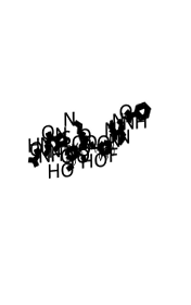 CO[C@H]1[C@@H](OP(=O)(OCCC#N)OC[C@H]2O[C@@H](n3cnc4c(NC(=O)c5ccccc5)ncnc43)[C@H](F)[C@@H]2O)[C@H](c2snc3c(=O)[nH]c(NC(=O)C(C)C)nc23)O[C@@H]1CO